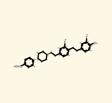 CCCCCCCCc1ccc([C@H]2CC[C@H](CCc3ccc(CCc4ccc(Cl)c(F)c4)c(F)c3)CC2)cc1